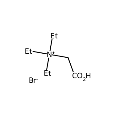 CC[N+](CC)(CC)CC(=O)O.[Br-]